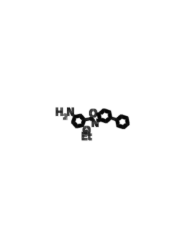 CCOc1ccc(N)cc1-c1nc2cc(-c3ccccc3)ccc2o1